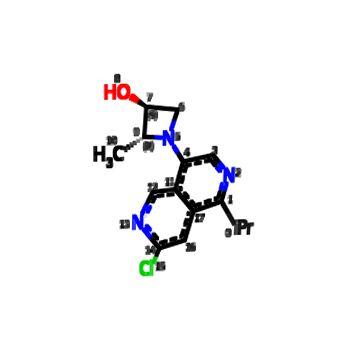 CC(C)c1ncc(N2C[C@H](O)[C@H]2C)c2cnc(Cl)cc12